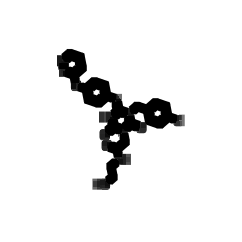 O=C(Cn1c(=O)[nH]/c(=N\c2ccc(Oc3cccnn3)cc2)n(Cc2ccc(Cl)cc2)c1=O)NCCO